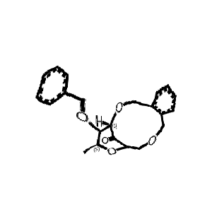 C[C@@H]1OC2COCc3ccccc3CO[C@H](C2=O)C1OCc1ccccc1